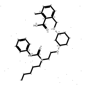 CCCCCN(CCO[C@H]1CCC[C@@H](OCc2cccc(C)c2C(=O)O)C1)C(=O)Nc1ccccc1